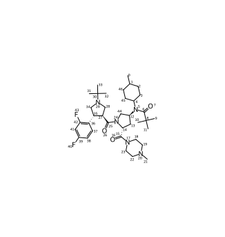 CC1CCC(N(C(=O)C(C)(C)C)[C@H]2C[C@H](C(=O)N3CCN(C)CC3)N(C(=O)[C@@H]3CN(C(C)(C)C)C[C@H]3c3ccc(F)cc3F)C2)CC1